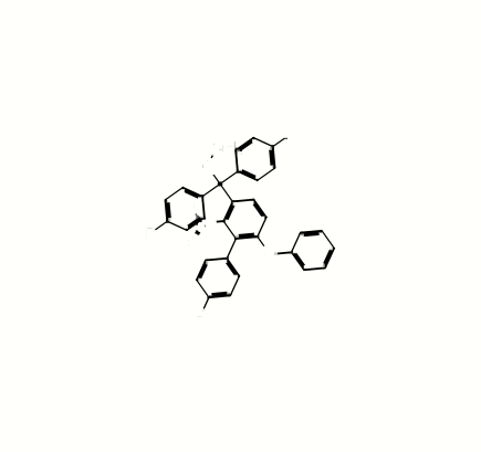 O=[N+]([O-])c1c(C(O[SiH3])(c2ccc(F)cc2)c2ccc(F)cc2)ccc(Oc2ccccc2)c1-c1ccc(F)cc1